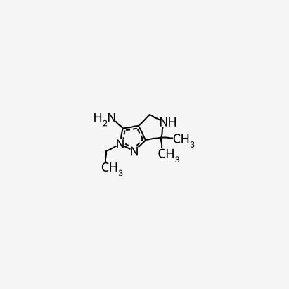 CCn1nc2c(c1N)CNC2(C)C